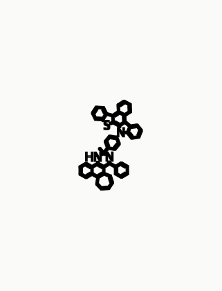 CC1(c2ccc(-n3c4ccccc4c4c5ccccc5c5c6ccccc6sc5c43)cc2)N=C(c2ccccc2)c2c3c(c4ccccc4c2N1)CC=CC=C3